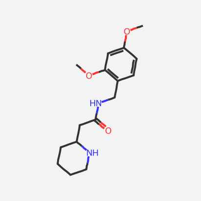 COc1ccc(CNC(=O)CC2CCCCN2)c(OC)c1